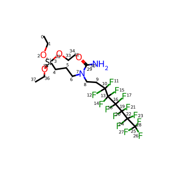 CCO[Si](CCCN(CCC(F)(F)C(F)(F)C(F)(F)C(F)(F)C(F)(F)C(F)(F)F)C(N)=O)(OCC)OCC